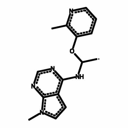 [CH2]C(Nc1ncnc2c1ccn2C)Oc1cccnc1C